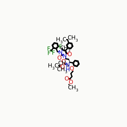 CCOC(=O)CCCOc1ccccc1[C@H](CCn1c(=O)c(-c2cccc(C(C)C)c2)c(C)n(Cc2c(F)cccc2C(F)(F)F)c1=O)NC(=O)OC(C)(C)C